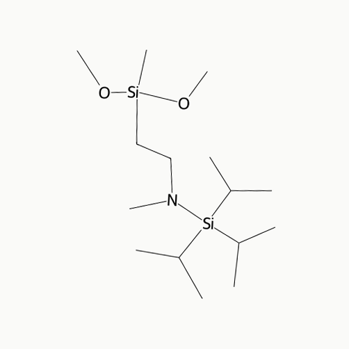 CO[Si](C)(CCN(C)[Si](C(C)C)(C(C)C)C(C)C)OC